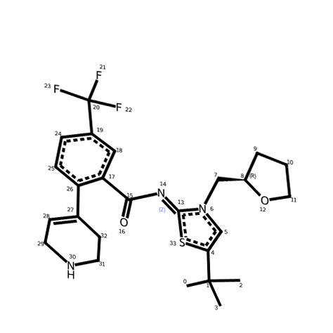 CC(C)(C)c1cn(C[C@H]2CCCO2)/c(=N/C(=O)c2cc(C(F)(F)F)ccc2C2=CCNCC2)s1